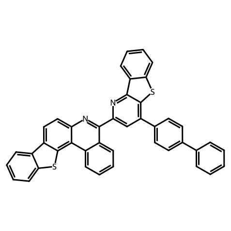 c1ccc(-c2ccc(-c3cc(-c4nc5ccc6c7ccccc7sc6c5c5ccccc45)nc4c3sc3ccccc34)cc2)cc1